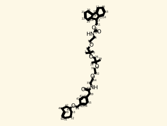 CC(C)(COCCNC(=O)OCC1c2ccccc2-c2ccccc21)OCC(C)(C)OCCOCCNC(=O)Cc1ccc(COC2CC/C=C/CCC2)cc1